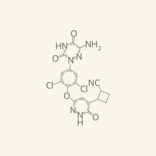 N#CC1CCC1c1cc(Oc2c(Cl)cc(-n3nc(N)c(=O)[nH]c3=O)cc2Cl)n[nH]c1=O